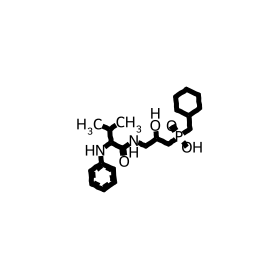 CC(C)C(Nc1ccccc1)C(=O)NCC(O)CP(=O)(O)CC1CCCCC1